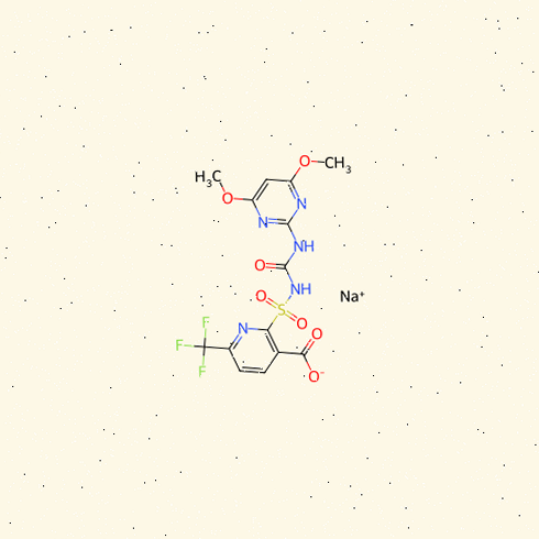 COc1cc(OC)nc(NC(=O)NS(=O)(=O)c2nc(C(F)(F)F)ccc2C(=O)[O-])n1.[Na+]